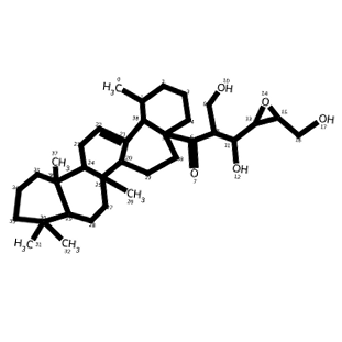 CC1CCCC2(C(=O)C(CO)C(O)C3OC3CO)CCC3C(=CCC4C3(C)CCC3C(C)(C)CCCC34C)C12